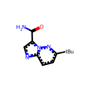 CC(C)(C)c1ccc2ncc(C(N)=O)n2n1